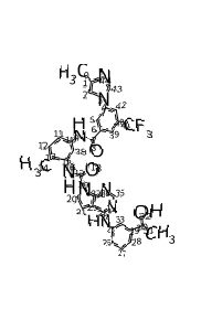 Cc1cn(-c2cc(C(=O)Nc3ccc(C)c(NC(=O)n4ccc5c(Nc6cccc(C(C)O)c6)ncnc54)c3)cc(C(F)(F)F)c2)cn1